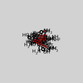 CC(=O)N[C@@H](CC(C)C)C(=O)N[C@@H](Cc1ccc(O)cc1)C(=O)N[C@@H](Cc1c[nH]c2ccccc12)C(=O)N[C@@H](CO)C(=O)N[C@@H](Cc1ccc(O)cc1)C(=O)N[C@@H](CC(C)C)C(=O)N[C@@H](Cc1ccc(O)cc1)C(=O)N[C@@H](CC(N)=O)C(=O)N[C@@H](CCCNC(=N)N)C(=O)N[C@@H](CCCCN)C(=O)N[C@@H](CCCNC(=N)N)C(=O)N[C@@H](CCCNC(=N)N)C(=O)N[C@@H](CCCCN)C(=O)N[C@@H](CCCNC(=N)N)C(=O)O